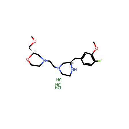 COC[C@@H]1CN(CCN2CCN[C@H](Cc3ccc(F)c(OC)c3)C2)CCO1.Cl.Cl.Cl